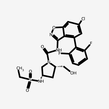 CCS(=O)(=O)N[C@H]1C[C@@H](CO)N(C(=O)Nc2noc3cc(Cl)cc(-c4c(F)cccc4F)c23)C1